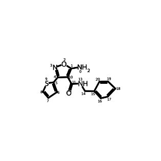 Nc1onc(-c2cccs2)c1C(=O)NCc1ccccc1